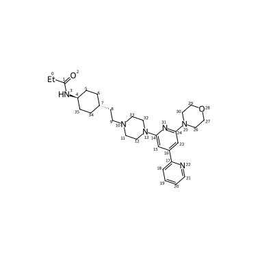 CCC(=O)N[C@H]1CC[C@H](CCN2CCN(c3cc(-c4ccccn4)cc(N4CCOCC4)n3)CC2)CC1